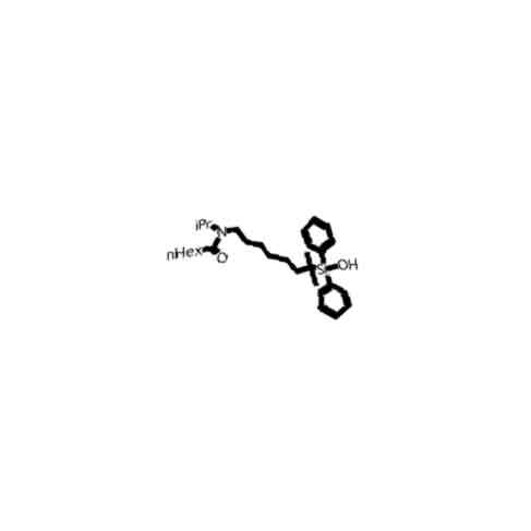 CCCCCCC(=O)N(CCCCCCC(C)(C)[Si](O)(c1ccccc1)c1ccccc1)C(C)C